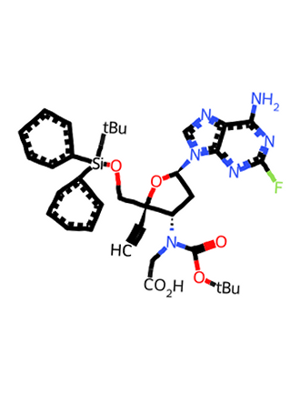 C#C[C@@]1(CO[Si](c2ccccc2)(c2ccccc2)C(C)(C)C)O[C@@H](n2cnc3c(N)nc(F)nc32)C[C@@H]1N(CC(=O)O)C(=O)OC(C)(C)C